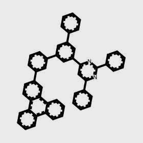 c1ccc(-c2cc(-c3cccc(-c4ccc5c6ccccc6c6ccccc6c5c4)c3)cc(-c3cc(-c4ccccc4)nc(-c4ccccc4)n3)c2)cc1